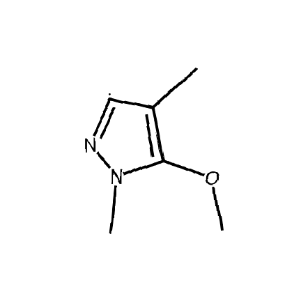 COc1c(C)[c]nn1C